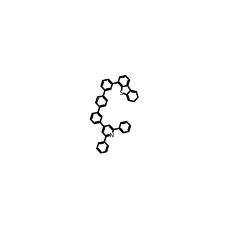 C1=c2sc3c(-c4cccc(-c5ccc(-c6cccc(-c7cc(-c8ccccc8)nc(-c8ccccc8)c7)c6)cc5)c4)cccc3c2=CCC1